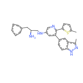 Cc1ccc(-c2ncc(NC[C@@H](N)Cc3ccccc3)cc2-c2ccc3[nH]nc(C)c3c2)s1